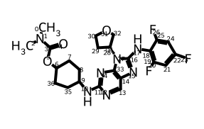 CN(C)C(=O)OC1CCC(Nc2ncc3nc(Nc4c(F)cc(F)cc4F)n([C@H]4CCOC4)c3n2)CC1